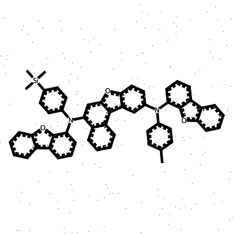 Cc1ccc(N(c2ccc3oc4cc(N(c5ccc([Si](C)(C)C)cc5)c5cccc6c5oc5ccccc56)c5ccccc5c4c3c2)c2cccc3c2oc2ccccc23)cc1